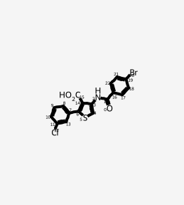 O=C(Nc1csc(-c2cccc(Cl)c2)c1C(=O)O)c1ccc(Br)cc1